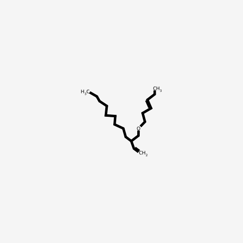 C=CC(CCCCCCCCC)COCCC=CCC